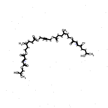 CC(O)CCC(=O)/C=C/C(=O)OCCC(C)CCC(=O)OCC#CCOC(=O)CCC(C)CCOC(=O)/C=C/C(=O)OCC(C)O